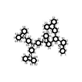 c1ccc2c(c1)sc1c(-c3cc(-c4ccc5c6ccccc6c6ccccc6c5c4)cc(-c4cccc5c4c4ccccc4n5-c4ccc(N(c5ccc(-n6c7ccccc7c7ccccc76)cc5)c5ccc(-n6c7ccccc7c7ccccc76)cc5)cc4)c3)cccc12